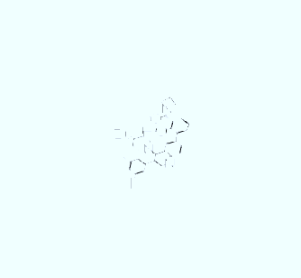 CCC1CCN(c2c(-c3cc(C)cc(F)c3)cnc3ccc(-c4cccc(C(=O)N5CCC5)c4O)cc23)CC1